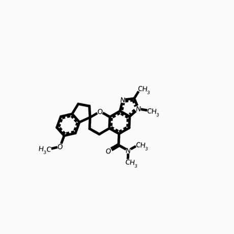 COc1ccc2c(c1)C1(CC2)CCc2c(C(=O)N(C)C)cc3c(nc(C)n3C)c2O1